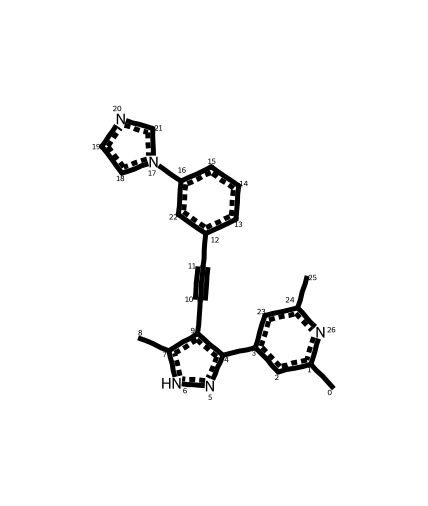 Cc1cc(-c2n[nH]c(C)c2C#Cc2cccc(-n3ccnc3)c2)cc(C)n1